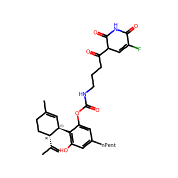 C=C(C)[C@@H]1CCC(C)=C[C@H]1c1c(O)cc(CCCCC)cc1OC(=O)NCCCC(=O)C1C=C(F)C(=O)NC1=O